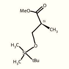 COC(=O)[C@@H](C)CO[Si](C)(C)C(C)(C)C